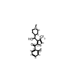 CN1CCC(C(O)c2c(C(F)(F)F)csc2C(=O)c2ccccc2F)CC1